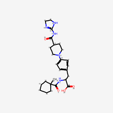 CC1(C(=O)NC(Cc2ccc(N3CCC(C(=O)NC4=NCCN4)CC3)cc2)C(=O)O)CCCCC1